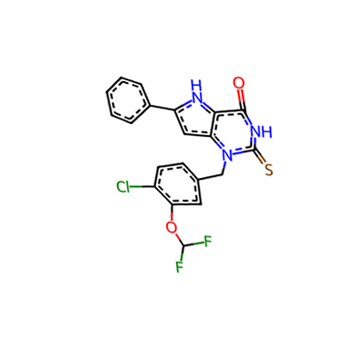 O=c1[nH]c(=S)n(Cc2ccc(Cl)c(OC(F)F)c2)c2cc(-c3ccccc3)[nH]c12